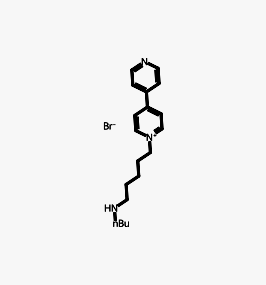 CCCCNCCCCC[n+]1ccc(-c2ccncc2)cc1.[Br-]